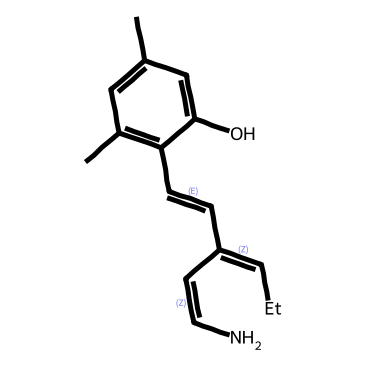 CC/C=C(\C=C/N)/C=C/c1c(C)cc(C)cc1O